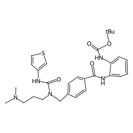 CN(C)CCCN(Cc1ccc(C(=O)Nc2ccccc2NC(=O)OC(C)(C)C)cc1)C(=O)Nc1ccsc1